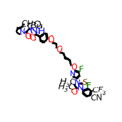 CC(C)(C)C(NC(=O)c1ccc(OCCCOCCCCCOc2ncc(N3C(=S)N(c4ccc(C#N)c(C(F)(F)F)c4F)C(=O)C3(C)C)cc2F)cc1)C(=O)N1CCCC1C=O